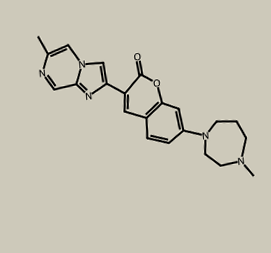 Cc1cn2cc(-c3cc4ccc(N5CCCN(C)CC5)cc4oc3=O)nc2cn1